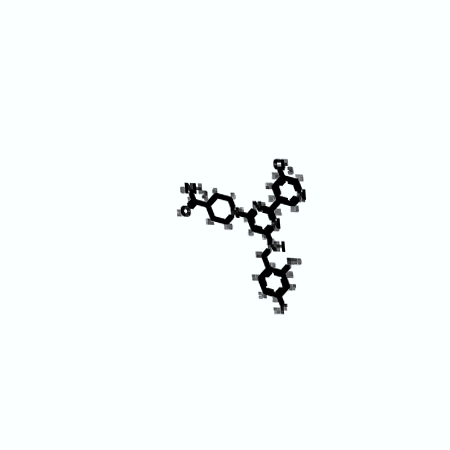 NC(=O)C1CCN(c2cc(NCc3ccc(F)cc3F)nc(-c3cncc(C(F)(F)F)c3)n2)CC1